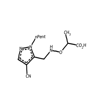 CCCCCn1ncc(C#N)c1CNOC(C)C(=O)O